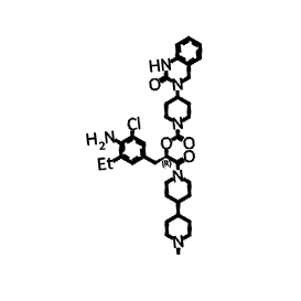 CCc1cc(C[C@@H](OC(=O)N2CCC(N3Cc4ccccc4NC3=O)CC2)C(=O)N2CCC(C3CCN(C)CC3)CC2)cc(Cl)c1N